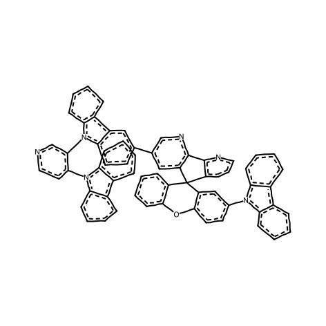 c1ccc2c(c1)Oc1ccc(-n3c4ccccc4c4ccccc43)cc1C21c2cccnc2-c2ncc(-c3ccc4c(c3)c3ccccc3n4-c3cnccc3-n3c4ccccc4c4ccccc43)cc21